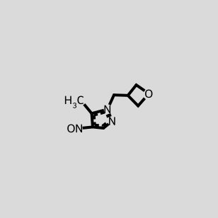 Cc1c(N=O)cnn1CC1COC1